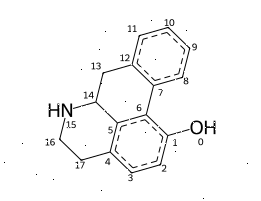 Oc1ccc2c3c1-c1ccccc1CC3NCC2